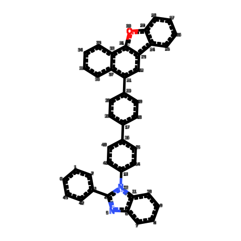 c1ccc(-c2nc3ccccc3n2-c2ccc(-c3ccc(-c4cc5c6ccccc6oc5c5ccccc45)cc3)cc2)cc1